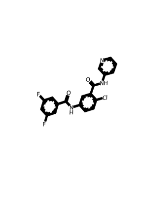 O=C(Nc1ccc(Cl)c(C(=O)Nc2cccnc2)c1)c1cc(F)cc(F)c1